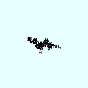 NCc1cc(F)cc(-c2cncc3[nH]c(-c4n[nH]c5ncc(-c6cncc(CN7CCC7)c6)cc45)nc23)c1